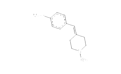 COc1ccc(C=C2CCN(C(C)(C)C)CC2)cc1